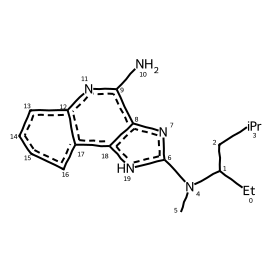 CCC(CC(C)C)N(C)c1nc2c(N)nc3ccccc3c2[nH]1